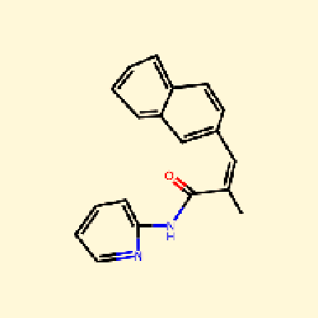 CC(=Cc1ccc2ccccc2c1)C(=O)Nc1ccccn1